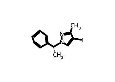 Cc1nn([C@H](C)c2ccccc2)cc1I